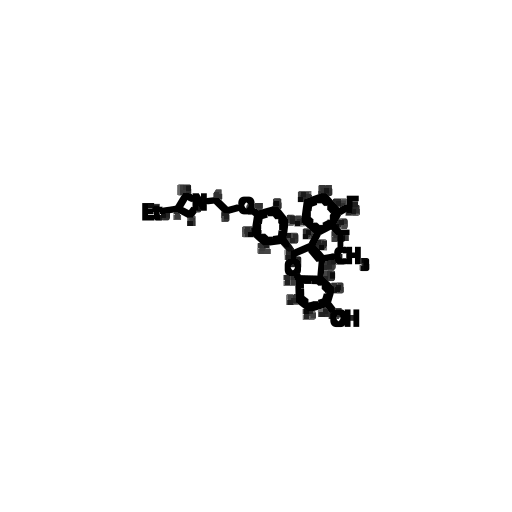 CCC1CN(CCOc2ccc([C@@H]3Oc4ccc(O)cc4C(C)=C3c3cccc(F)c3F)cc2)C1